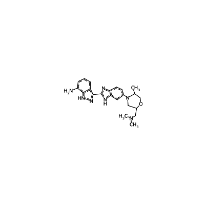 CC1COC(CN(C)C)CN1c1ccc2nc(-c3n[nH]c4c(N)cccc34)[nH]c2c1